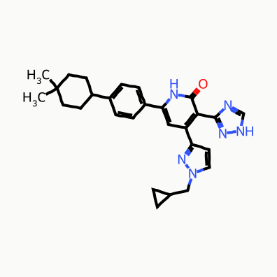 CC1(C)CCC(c2ccc(-c3cc(-c4ccn(CC5CC5)n4)c(-c4nc[nH]n4)c(=O)[nH]3)cc2)CC1